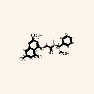 O=C(COc1cc(C(=O)O)cc2cc(Cl)cc(Cl)c12)N[C@@H](CO)c1ccccc1